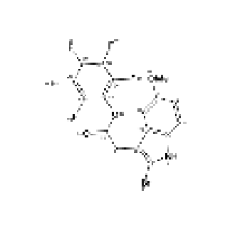 COc1ccc2[nH]c(Br)c(CC(=O)Oc3c(F)c(F)c(F)c(F)c3F)c2c1